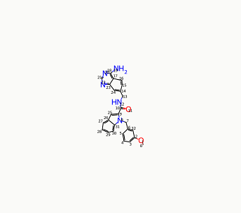 COc1cccc(Cn2c(C(=O)NCc3ccc4c(N)ncnc4c3)cc3ccccc32)c1